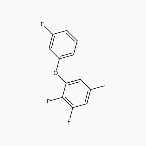 Cc1cc(F)c(F)c(Oc2cccc(F)c2)c1